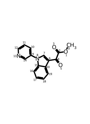 COC(=O)C(=O)c1cn(-c2cccnc2)c2ccccc12